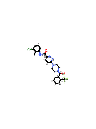 Cc1c(Cl)cccc1NC(=O)c1ccc(N2CCN(C(=O)c3ccccc3C(F)(F)F)CC2)nn1